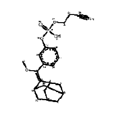 COC(=C1C2CC3CC(C2)CC1C3)c1cccc(OP(=O)(O)OCCC#N)c1